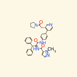 Cn1nccc1C(=O)N[C@H](C(=O)Nc1ccc(-c2ccncc2CC(=O)N2CCCC2)cc1)C(c1ccccc1)c1ccccc1